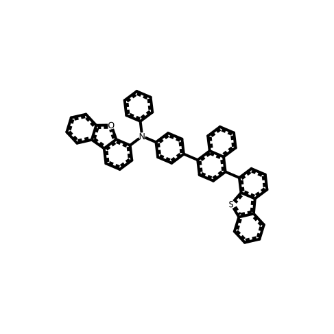 c1ccc(N(c2ccc(-c3ccc(-c4cccc5c4sc4ccccc45)c4ccccc34)cc2)c2cccc3c2oc2ccccc23)cc1